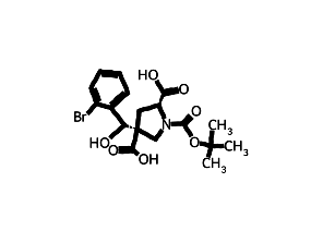 CC(C)(C)OC(=O)N1C[C@](C(=O)O)(C(O)c2ccccc2Br)C[C@H]1C(=O)O